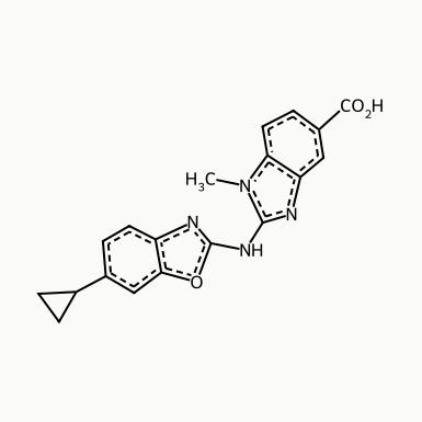 Cn1c(Nc2nc3ccc(C4CC4)cc3o2)nc2cc(C(=O)O)ccc21